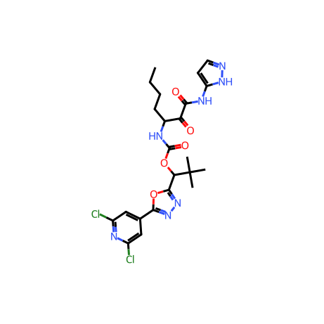 CCCCC(NC(=O)OC(c1nnc(-c2cc(Cl)nc(Cl)c2)o1)C(C)(C)C)C(=O)C(=O)Nc1ccn[nH]1